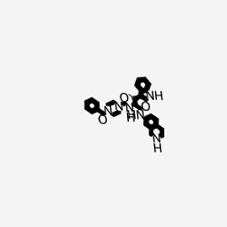 C[C@H](c1c[nH]c2ccccc12)[C@@H](NC(=O)N1CCN(C(=O)c2ccccc2)CC1)C(=O)Nc1ccc2c(c1)CNCC2